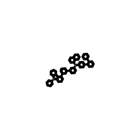 c1cc(-c2cccc(N(c3ccc(-c4ccccc4-c4ccccc4)cc3)c3cccc4ccccc34)c2)cc(-c2cccc3c2c2ccccc2n3-c2ccccc2)c#1